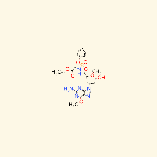 CCOC(=O)CNP(=O)(OCC(CC(CCO)n1cnc2c(OC)nc(N)nc21)OC)Oc1ccccc1